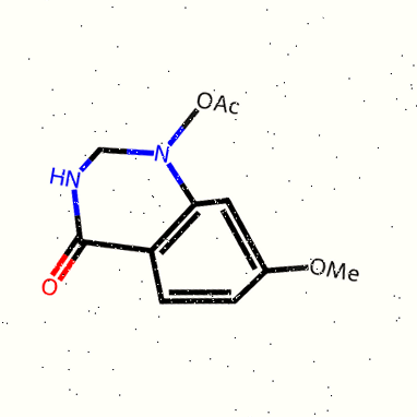 COc1ccc2c(c1)N(OC(C)=O)CNC2=O